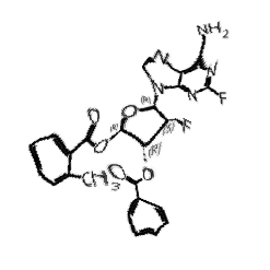 Cc1ccccc1C(=O)O[C@H]1O[C@@H](n2cnc3c(N)nc(F)nc32)[C@@H](F)[C@@H]1OC(=O)c1ccccc1